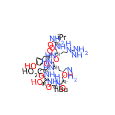 CCCC[C@H](NC(=O)[C@@H](C)CO)C(=O)N[C@H](C(=O)N[C@@H](CC(=O)O)C(=O)N[C@@H](CCCCN)C(=O)N[C@@H](Cc1ccc(O)cc1)C(=O)N[C@@H](CCCNC(=N)N)C(=O)N[C@@H](CC(C)C)C(N)=O)[C@@H](C)O